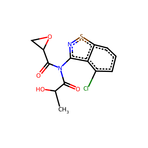 CC(O)C(=O)N(C(=O)C1CO1)c1nsc2cccc(Cl)c12